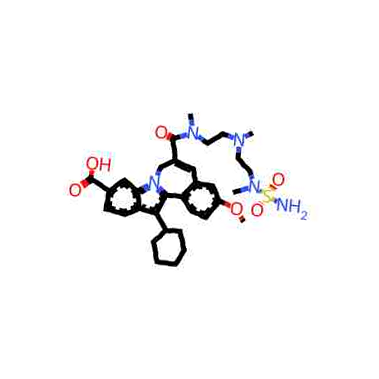 COc1ccc2c(c1)C=C(C(=O)N(C)CCN(C)CCN(C)S(N)(=O)=O)Cn1c-2c(C2CCCCC2)c2ccc(C(=O)O)cc21